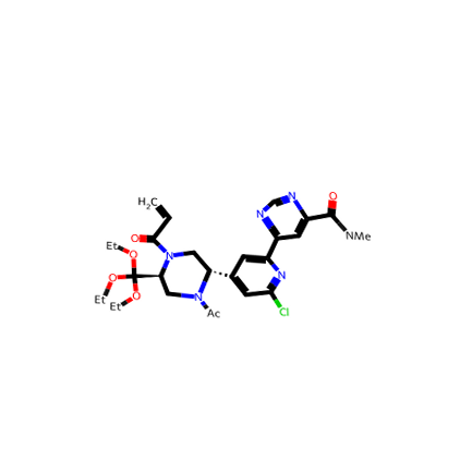 C=CC(=O)N1C[C@H](c2cc(Cl)nc(-c3cc(C(=O)NC)ncn3)c2)N(C(C)=O)C[C@H]1C(OCC)(OCC)OCC